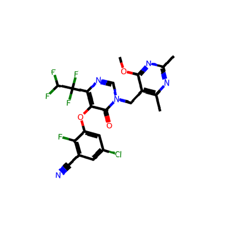 COc1nc(C)nc(C)c1Cn1cnc(C(F)(F)C(F)F)c(Oc2cc(Cl)cc(C#N)c2F)c1=O